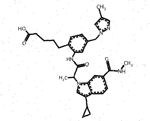 CNC(=O)c1ccc2c(C3CC3)cn(C(C)C(=O)Nc3cc(Cn4cc(C)cn4)ccc3CCCCC(=O)O)c2c1